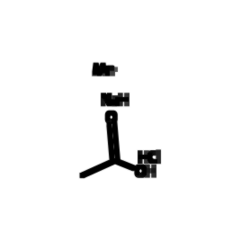 CC(=O)O.Cl.[Mn].[NaH]